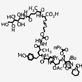 CCCC(=O)OCN(C(=O)[C@@H](NC(=O)[C@H]1CCCCN1C)C(C)CC)[C@H](C[C@@H](OC(C)=O)c1nc(C(=O)N[C@@H](Cc2ccc(O)cc2)C[C@H](C)C(=O)NNC(=O)OCCSSC[C@@H](NC(=O)[C@@H](C)CCC(=O)NC[C@H](O)[C@@H](O)[C@H](O)[C@H](O)CO)C(=O)O)cs1)C(C)C